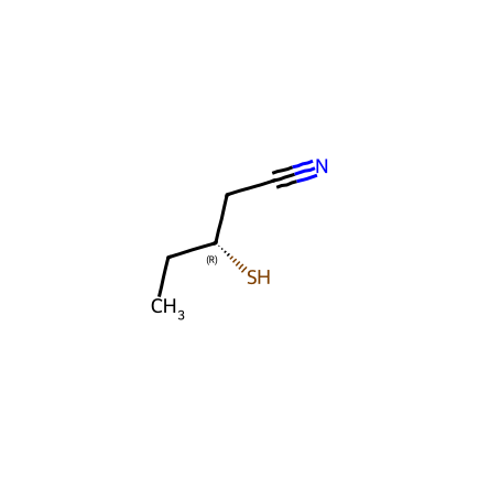 CC[C@@H](S)CC#N